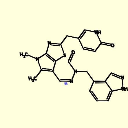 Cc1c(/C=N\N(C=O)Cc2cccc3[nH]ncc23)c2sc(Cc3ccc(=O)[nH]c3)nc2n1C